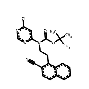 CC(C)(C)OC(=O)N(CCc1c(C#N)ccc2ccccc12)c1cc(Cl)ncn1